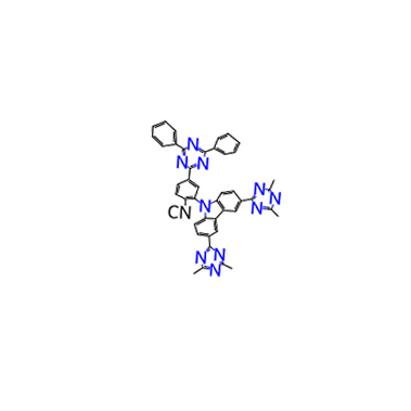 Cc1nc(C)nc(-c2ccc3c(c2)c2cc(-c4nc(C)nc(C)n4)ccc2n3-c2cc(-c3nc(-c4ccccc4)nc(-c4ccccc4)n3)ccc2C#N)n1